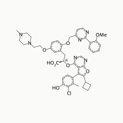 COc1ccccc1-c1nccc(COc2ccc(OCCN3CCN(C)CC3)cc2C[C@@H](Oc2ncnc3oc(C4CCC4)c(-c4ccc(O)c(Cl)c4C)c23)C(=O)O)n1